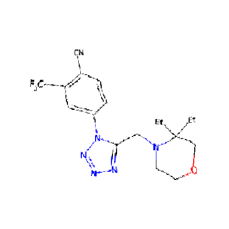 CCC1(CC)COCCN1Cc1nnnn1-c1ccc(C#N)c(C(F)(F)F)c1